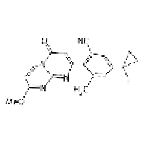 COc1ccn2c(=O)cc(-c3c(C)cc(C4(F)CC4)cc3C#N)nc2n1